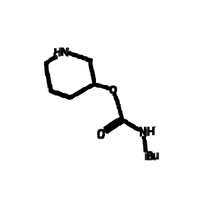 CCC(C)NC(=O)OC1CCCNC1